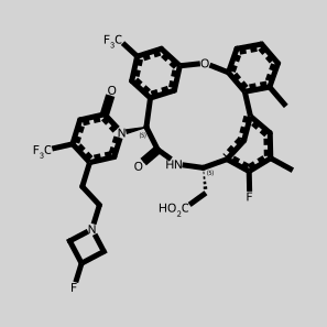 Cc1cc2cc(c1F)[C@H](CC(=O)O)NC(=O)[C@@H](n1cc(CCN3CC(F)C3)c(C(F)(F)F)cc1=O)c1cc(cc(C(F)(F)F)c1)Oc1cccc(C)c1-2